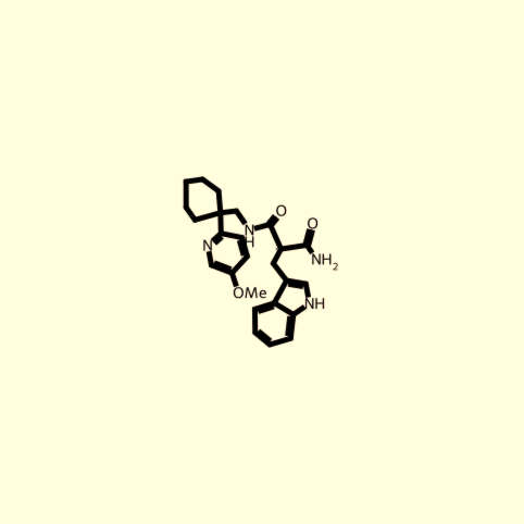 COc1ccc(C2(CNC(=O)[C](Cc3c[nH]c4ccccc34)C(N)=O)CCCCC2)nc1